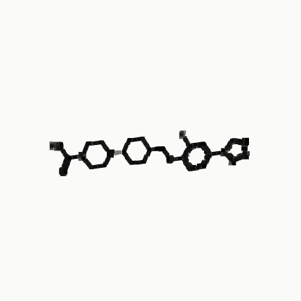 O=C(O)N1CCN([C@H]2CC[C@H](COc3ccc(-n4cnnn4)cc3F)CC2)CC1